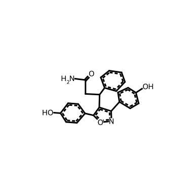 NC(=O)CC(c1ccccc1)c1c(-c2ccc(O)cc2)noc1-c1ccc(O)cc1